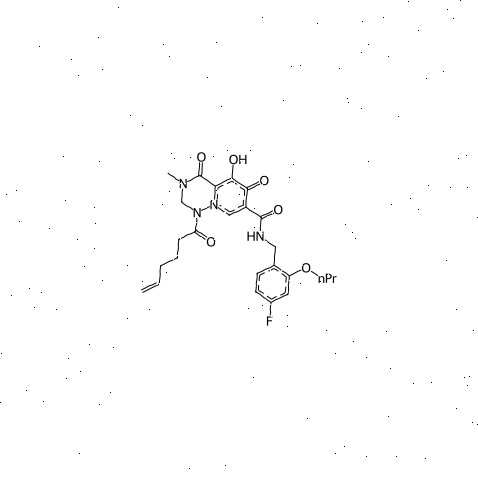 C=CCCCC(=O)N1CN(C)C(=O)c2c(O)c(=O)c(C(=O)NCc3ccc(F)cc3OCCC)cn21